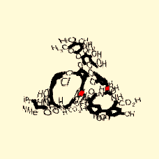 CN[C@@H](CC(C)C)C(=O)N[C@H]1C(=O)N[C@H](C(=O)O)CC(=O)N[C@H]2C(=O)N[C@H]3C(=O)N[C@H](C(=O)N[C@H](C(=O)O)c4cc(O)cc(O)c4-c4cc3ccc4O)[C@H](O)c3ccc(c(Cl)c3)Oc3cc2cc(c3OC2OC(CO)C(O)C(O)C2OC2CC(C)(N)C(O)C(C)O2)Oc2ccc(cc2Cl)[C@H]1O